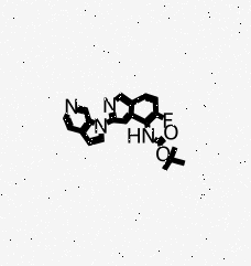 CC(C)(C)OC(=O)Nc1c(F)ccc2cnc(-n3ccc4ccncc43)cc12